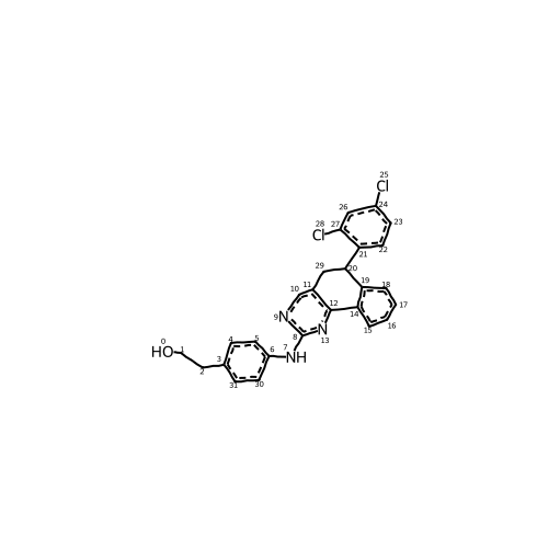 OCCc1ccc(Nc2ncc3c(n2)-c2ccccc2C(c2ccc(Cl)cc2Cl)C3)cc1